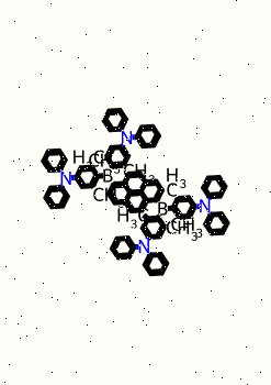 Cc1cc(N(c2ccccc2)c2ccccc2)cc(C)c1B(c1c(C)cc(N(c2ccccc2)c2ccccc2)cc1C)c1ccc2ccc3c(B(c4c(C)cc(N(c5ccccc5)c5ccccc5)cc4C)c4c(C)cc(N(c5ccccc5)c5ccccc5)cc4C)ccc4ccc1c2c43